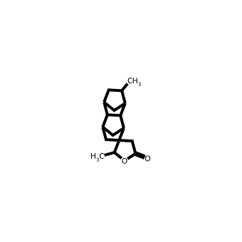 CC1CC2CC1C1C2C2CC1C1(CC(=O)OC1C)C2